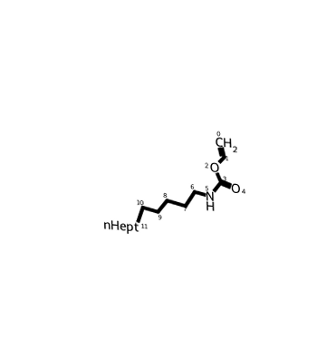 C=COC(=O)NCCCCCCCCCCCC